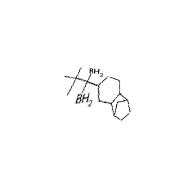 BC(B)(C1CCC2C3CCC(C3)C2C1)C(C)(C)C